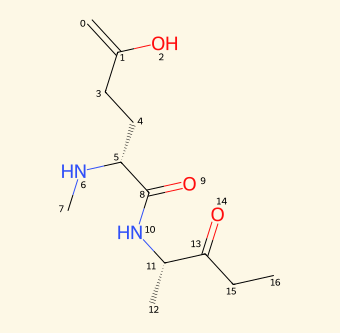 C=C(O)CC[C@@H](NC)C(=O)N[C@@H](C)C(=O)CC